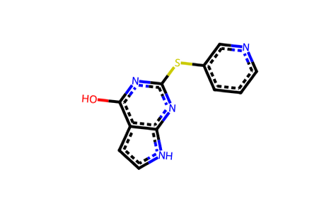 Oc1nc(Sc2cccnc2)nc2[nH]ccc12